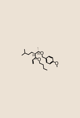 C=C[C@H](OCCCC)[C@@H](CCC(C)C)[C@H](C)OCc1ccc(OC)cc1